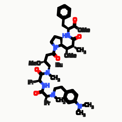 CC[C@H](C)[C@@H]([C@@H](CC(=O)N1CCC[C@H]1[C@H](OC)[C@@H](C)C(=O)N[C@@H](Cc1ccccc1)C(=O)OC)OC)N(C)C(=O)[C@@H](NC(=O)[C@H](C(C)C)N(C)CCc1ccc(N(C)C)cc1)C(C)C